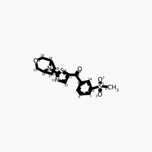 CS(=O)(=O)c1cccc(C(=O)c2cnc(N3C4CCC3COC4)s2)c1